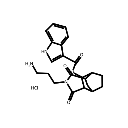 Cl.NCCCN1C(=O)C2C3CCC(C(OC(=O)c4c[nH]c5ccccc45)C3)C2C1=O